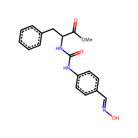 COC(=O)C(Cc1ccccc1)NC(=O)Nc1ccc(C=NO)cc1